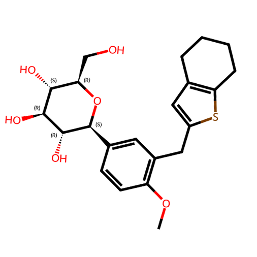 COc1ccc([C@@H]2O[C@H](CO)[C@@H](O)[C@H](O)[C@H]2O)cc1Cc1cc2c(s1)CCCC2